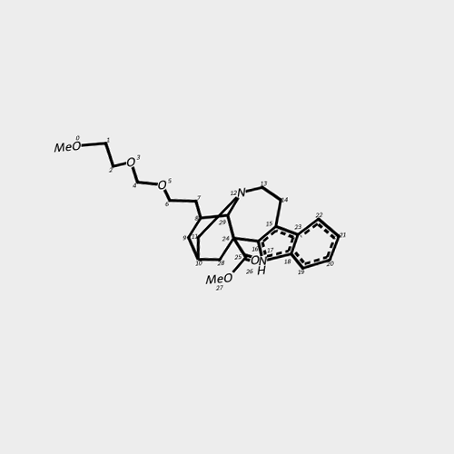 COCCOCOCCC1CC2CN3CCc4c([nH]c5ccccc45)C(C(=O)OC)(C2)C13